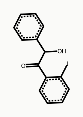 O=C(c1ccccc1I)C(O)c1ccccc1